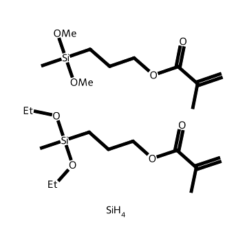 C=C(C)C(=O)OCCC[Si](C)(OC)OC.C=C(C)C(=O)OCCC[Si](C)(OCC)OCC.[SiH4]